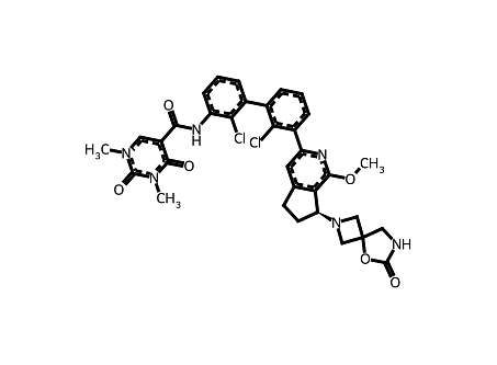 COc1nc(-c2cccc(-c3cccc(NC(=O)c4cn(C)c(=O)n(C)c4=O)c3Cl)c2Cl)cc2c1[C@@H](N1CC3(CNC(=O)O3)C1)CC2